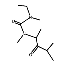 CCN(C)C(=O)N(C)C(C)C(=O)C(C)C